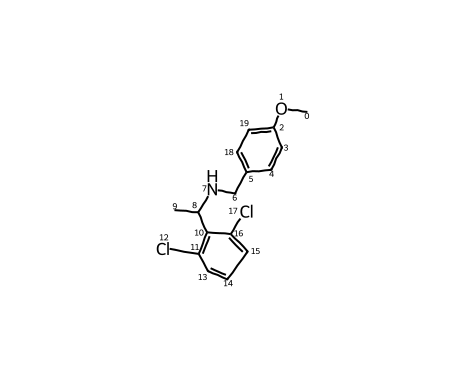 COc1ccc(CNC(C)c2c(Cl)cccc2Cl)cc1